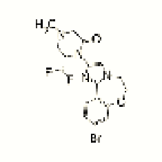 CN1CC(=O)N(c2cn3c(n2)-c2ccc(Br)cc2OCC3)[C@H](C(F)F)C1